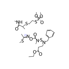 CCOC(=O)CCN(Cc1ccccc1)SN(C)C(=O)O/N=C(/C)SC.CNC(=O)C(C)SCCSP(=O)(OC)OC